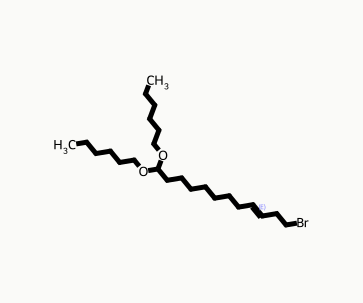 CCCCCCOC(CCCCCCC/C=C/CCBr)OCCCCCC